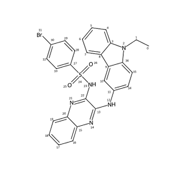 CCn1c2ccccc2c2cc(Nc3nc4ccccc4nc3NS(=O)(=O)c3ccc(Br)cc3)ccc21